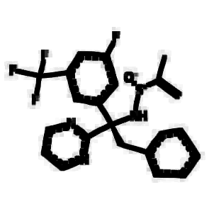 C=C(C)[S@@+]([O-])N[C@@](Cc1ccccc1)(c1cc(F)cc(C(F)(F)F)c1)c1ncccn1